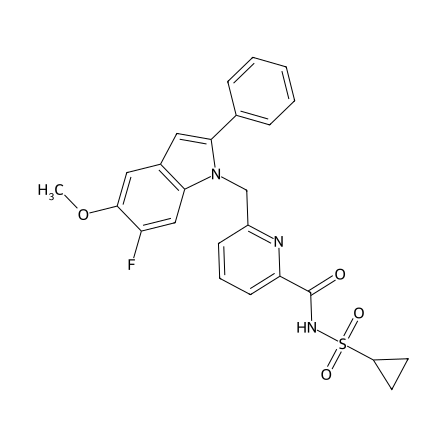 COc1cc2cc(-c3ccccc3)n(Cc3cccc(C(=O)NS(=O)(=O)C4CC4)n3)c2cc1F